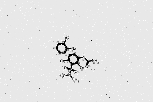 CN(C)S(=O)(=O)c1c(Cl)ccc(NC(N)=O)c1O.[Na][c]1ccccc1Br